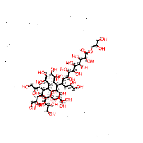 O=C(OCC(O)CO)C(O)C(O)C(O)C(O)C(O)C(O)C(O)C(O)C(CC(O)CO)C(CC(O)CO)C(CC(O)CO)C(CC(O)CO)C(CC(O)CO)C(CC(O)CO)C(CC(O)CO)C(CC(O)CO)C(O)CC(O)CO